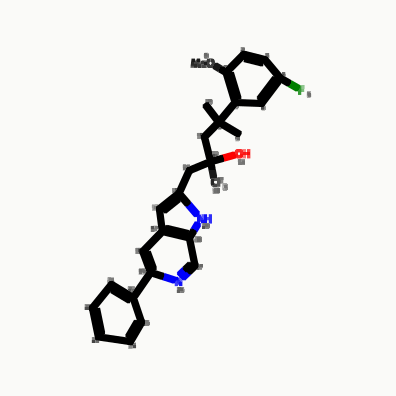 COc1ccc(F)cc1C(C)(C)CC(O)(Cc1cc2cc(-c3ccccc3)ncc2[nH]1)C(F)(F)F